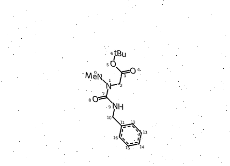 CNN(CC(=O)OC(C)(C)C)C(=O)NCc1ccccc1